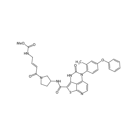 COC(=O)NCC=CC(=O)N1CCC(NC(=O)c2sc3nccc4c3c2NC(=O)N4c2ccc(Oc3ccccc3)cc2C)C1